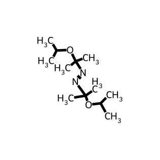 CC(C)OC(C)(C)N=NC(C)(C)OC(C)C